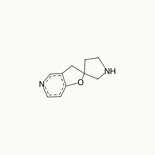 c1cc2c(cn1)CC1(CCNC1)O2